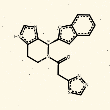 O=C(Cc1nncs1)N1CCc2[nH]cnc2[C@H]1c1cc2ccccc2o1